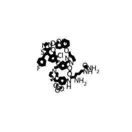 COc1ccccc1-c1nccc(COc2ccccc2CC(Oc2ncnc3sc(-c4ccc(F)cc4)c(-c4ccc(OCCN5CC[N+](C)(Cc6ccc(NC(=O)C(N)CCCNC(N)=O)cc6S(=O)(=O)[O-])CC5)c(Cl)c4C)c23)C(=O)O)n1